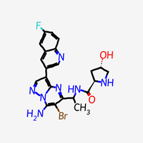 CC(NC(=O)[C@H]1C[C@H](O)CN1)c1nc2c(-c3cnc4ccc(F)cc4c3)cnn2c(N)c1Br